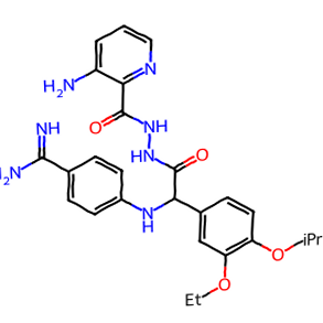 CCOc1cc(C(Nc2ccc(C(=N)N)cc2)C(=O)NNC(=O)c2ncccc2N)ccc1OC(C)C